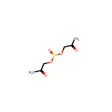 CC(=O)COS(=O)OCC(C)=O